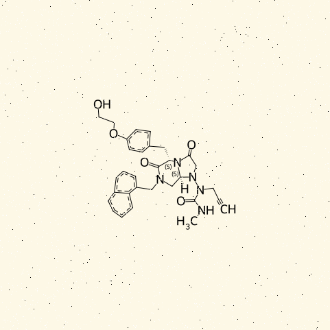 C#CCN(C(=O)NC)N1CC(=O)N2[C@@H](Cc3ccc(OCCO)cc3)C(=O)N(Cc3cccc4ccccc34)C[C@@H]21